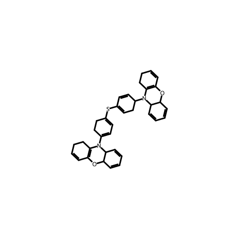 C1=CC2OC3=C(CCC=C3)N(C3=CC=C(SC4=CCC(N5C6=C(C=CCC6)OC6C=CC=CC65)C=C4)CC3)C2C=C1